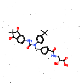 CC1(C)C(=O)c2ccc(NC(=O)N(Cc3ccc(C(=O)NC[C@@H](O)C(=O)O)cc3)c3ccc(C(C)(C)C)cc3)cc2C1=O